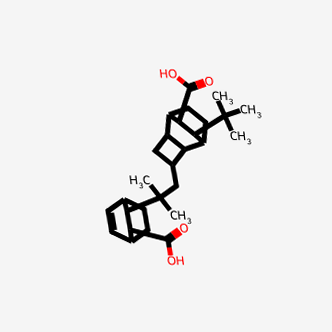 CC(C)(C)C1C2CCC(C3CC(CC(C)(C)C4C5C=CC(CC5)C4C(=O)O)C32)C1C(=O)O